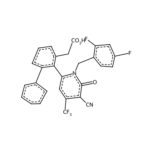 N#Cc1c(C(F)(F)F)cc(-c2c(CC(=O)O)cccc2-c2ccccc2)n(Cc2ccc(F)cc2F)c1=O